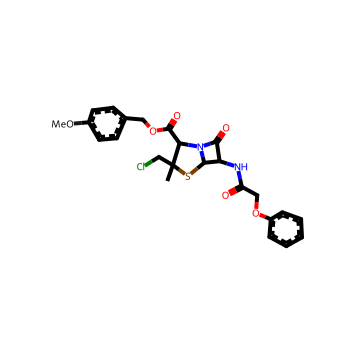 COc1ccc(COC(=O)C2N3C(=O)C(NC(=O)COc4ccccc4)C3SC2(C)CCl)cc1